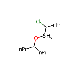 CCCC(CCC)O[SiH2]C(Cl)CCC